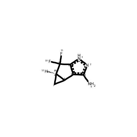 Nc1n[nH]c2c1C1C[C@H]1C2(F)F